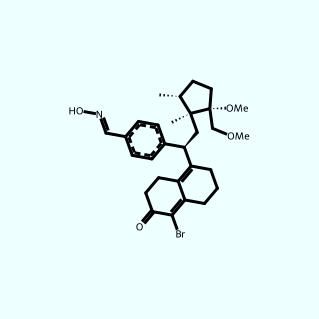 COC[C@]1(OC)CC[C@@H](C)[C@]1(C)C[C@@H](C1=C2CCC(=O)C(Br)=C2CCC1)c1ccc(/C=N/O)cc1